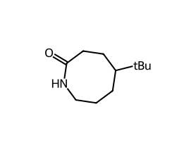 CC(C)(C)C1CCCNC(=O)CC1